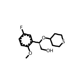 COc1ccc(F)cc1[C@H](CO)OC1CCSCC1